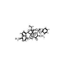 CCOC(=O)[C@H](C)N[P@@](=O)(Oc1ccccc1)OC1[C@@]2(CF)O[C@@H](c3ccc4c(N)ncnn34)[C@H](O)[C@@]12O